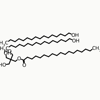 CCCCCCCCCCCCCCCCCC(=O)OCC(CO)(CO)CO.CCCCCCCCCCCCCCCCO.CCCCCCCCCCCCCCCCO